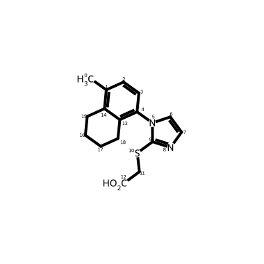 Cc1ccc(-n2ccnc2SCC(=O)O)c2c1CCCC2